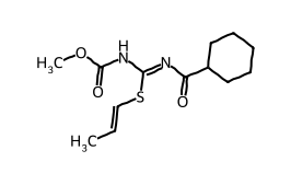 CC=CSC(=NC(=O)C1CCCCC1)NC(=O)OC